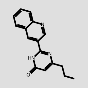 CCCc1cc(=O)[nH]c(-c2cnc3ccccc3c2)n1